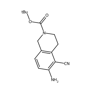 CC(C)(C)OC(=O)N1CCc2c(ccc(N)c2C#N)C1